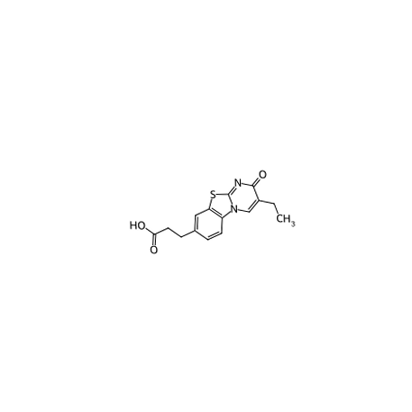 CCc1cn2c(nc1=O)sc1cc(CCC(=O)O)ccc12